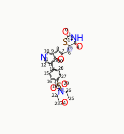 O=C1NC(=O)/C(=C/c2cc3cncc(-c4ccc(S(=O)(=O)N5CCOCC5)cc4)c3o2)S1